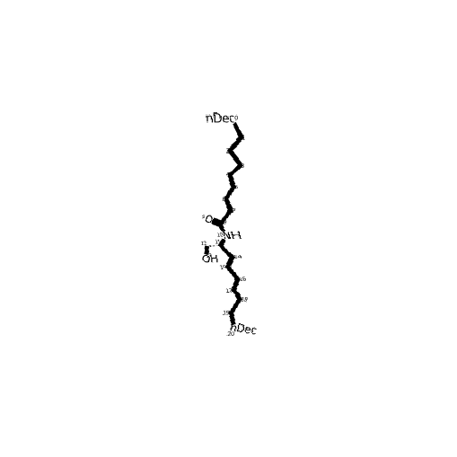 CCCCCCCCCCCCCCCCCC(=O)N[C@@H](CO)CCCCCCCCCCCCCCCC